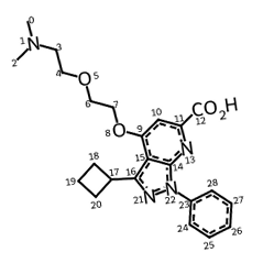 CN(C)CCOCCOc1cc(C(=O)O)nc2c1c(C1CCC1)nn2-c1ccccc1